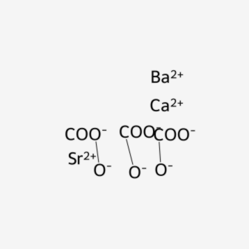 O=C([O-])[O-].O=C([O-])[O-].O=C([O-])[O-].[Ba+2].[Ca+2].[Sr+2]